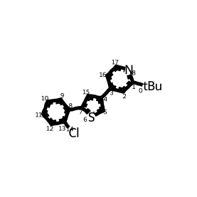 CC(C)(C)c1cc(-c2csc(-c3cc[c]cc3Cl)c2)ccn1